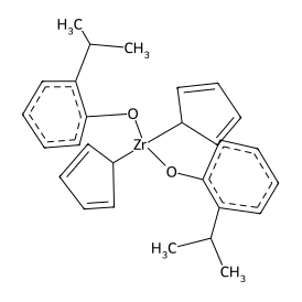 CC(C)c1ccccc1[O][Zr]([O]c1ccccc1C(C)C)([CH]1C=CC=C1)[CH]1C=CC=C1